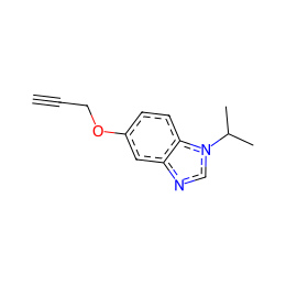 C#CCOc1ccc2c(c1)ncn2C(C)C